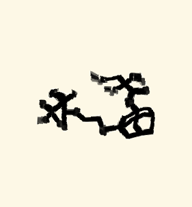 CCC(C)(C)C(=O)OC12CC3CC(CC(OCCOC(=O)C(F)(F)S(=O)(=O)O)(C3)C1)C2